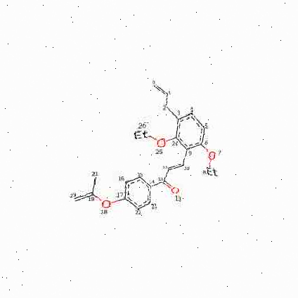 C=CCc1ccc(OCC)c(C=CC(=O)c2ccc(OC(=C)C)cc2)c1OCC